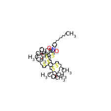 CCCCCCCCc1ccc(N2C(=O)c3sc4c(-c5cc6c(-c7ccc(CC(CC)CCCC)s7)c7sc(C(CC)(CCCC)c8ccccc8)cc7c(-c7ccc(CC(CC)CCCC)s7)c6s5)sc(C(C)(CCCC(C)C)c5ccccc5)c4c3C2=O)cc1